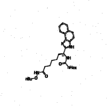 CCCCCCC(=O)N[C@@H](CCCCCC(=O)NOCCCC)c1nc2c(ccc3ccccc32)[nH]1